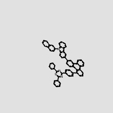 c1ccc(-c2nc(-c3ccccc3)nc(-c3ccc(-c4cccc5c6ccccc6c6cc(-c7ccc8c(c7)c7ccccc7n8-c7ccc8ccccc8c7)ccc6c45)cc3)n2)cc1